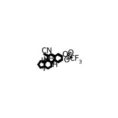 C[C@@]12CCC[C@H]1[C@@H]1C(=CC#N)C=C3C=C(OS(=O)(=O)C(F)(F)F)C=C[C@@H]3[C@H]1CC2